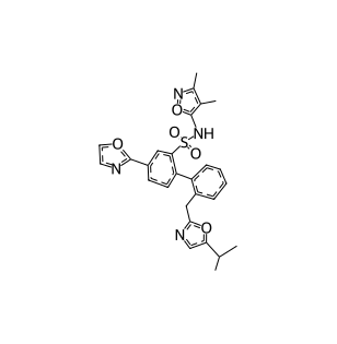 Cc1noc(NS(=O)(=O)c2cc(-c3ncco3)ccc2-c2ccccc2Cc2ncc(C(C)C)o2)c1C